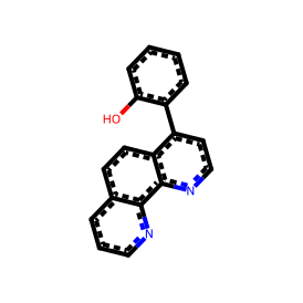 Oc1ccccc1-c1ccnc2c1ccc1cccnc12